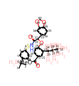 BC(C)(C)c1ccc(SNC(=O)C(Oc2ccc(C(=O)OC)cc2C(B)(B)C(B)(B)C(B)(B)B)c2ccc3c(c2)OCO3)cc1